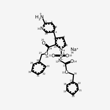 Nc1ccc(-c2ccn(S(=O)(=O)[N-]C(=O)OCc3ccccc3)c2C(=O)OCc2ccccc2)cn1.[Na+]